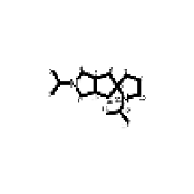 CC(C)N1CC2CC3(CCCN3C(C)C)CC2C1